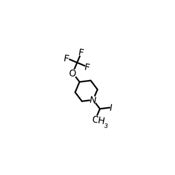 CC(I)N1CCC(OC(F)(F)F)CC1